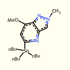 CCC[CH2][Sn]([CH2]CCC)([CH2]CCC)[c]1cc(OC)c2nn(C)cc2n1